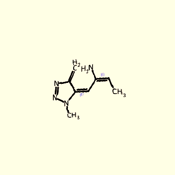 C=c1nnn(C)/c1=C/C(N)=C\C